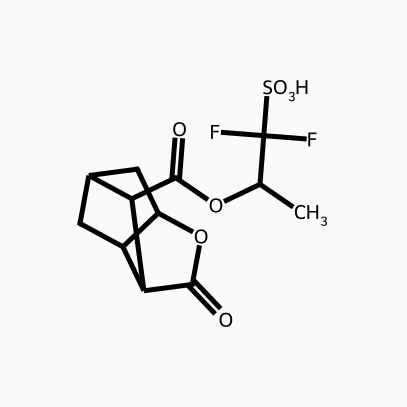 CC(OC(=O)C1C2CC3OC(=O)C1C3C2)C(F)(F)S(=O)(=O)O